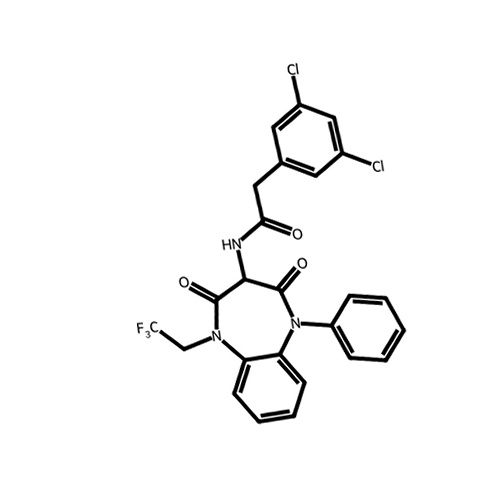 O=C(Cc1cc(Cl)cc(Cl)c1)NC1C(=O)N(CC(F)(F)F)c2ccccc2N(c2ccccc2)C1=O